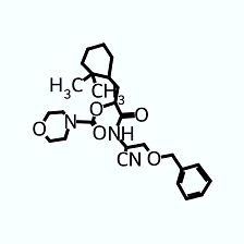 CC1(C)CCCCC1CC(OC(=O)N1CCOCC1)C(=O)NC(C#N)COCc1ccccc1